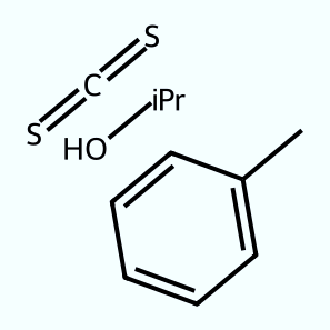 CC(C)O.Cc1ccccc1.S=C=S